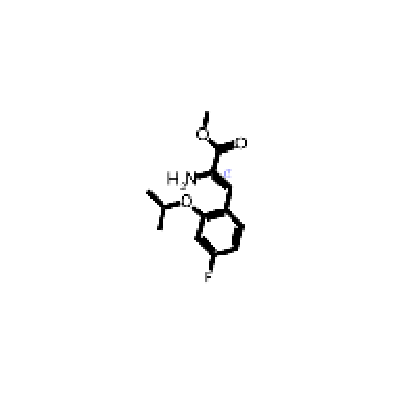 COC(=O)/C(N)=C/c1ccc(F)cc1OC(C)C